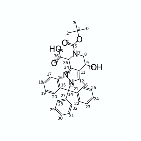 CC(C)(C)OC(=O)N1CC(O)c2cn(C(c3ccccc3)(c3ccccc3)c3ccccc3)nc2C1C(=O)O